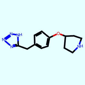 c1cc(OC2CCNCC2)ccc1Cc1nnn[nH]1